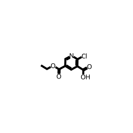 CCOC(=O)c1cnc(Cl)c(C(=O)O)c1